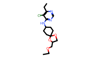 CCOCC1COC2(CCC(Nc3ncnc(CC)c3Cl)CC2)O1